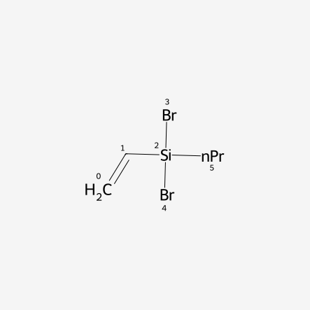 C=C[Si](Br)(Br)CCC